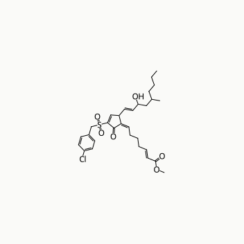 CCCCC(C)CC(O)C=CC1C=C(S(=O)(=O)Cc2ccc(Cl)cc2)C(=O)C1=CCCCC=CC(=O)OC